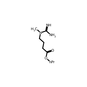 CCCOC(=O)CCCN(C)C(=N)N